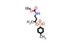 Cc1ccc(S(=O)(=O)OC(C)CCNC(=O)OC(C)(C)C)cc1